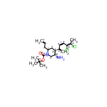 C=CCC1C[C@@H](C(=C)/C=C\C(Cl)=C(/C)Cl)[C@H](N)CN1C(=O)OC(C)(C)C